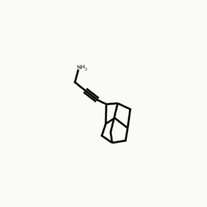 NCC#CC1C2CC3CC(C2)CC1C3